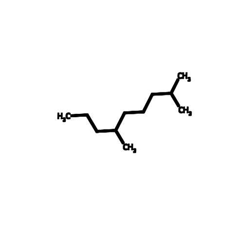 CCCC(C)CCC[C](C)C